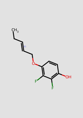 CC/C=C/COc1ccc(O)c(F)c1F